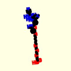 C[C@@H](NC(=O)c1cccc(NC2(C(=N)NC(=N)c3ccncc3)CCN(C)CC2)c1)c1ccc(OCCCCCCOCCOCCOCCC(=O)O)cc1